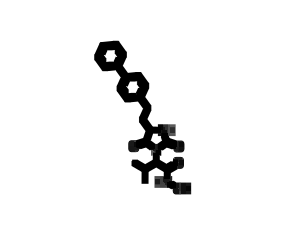 CC(C)C(C(=O)NO)N1C(=O)NC(CCc2ccc(-c3ccccc3)cc2)C1=O